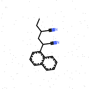 CCC(C#N)CC(C#N)c1cccc2ccccc12